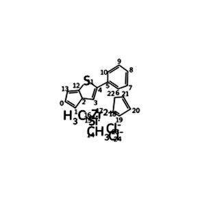 C1=CC2C=C(c3ccccc3)SC2=C1.C[Si](C)[Zr+2][C]1=CC=CC1.[Cl-].[Cl-]